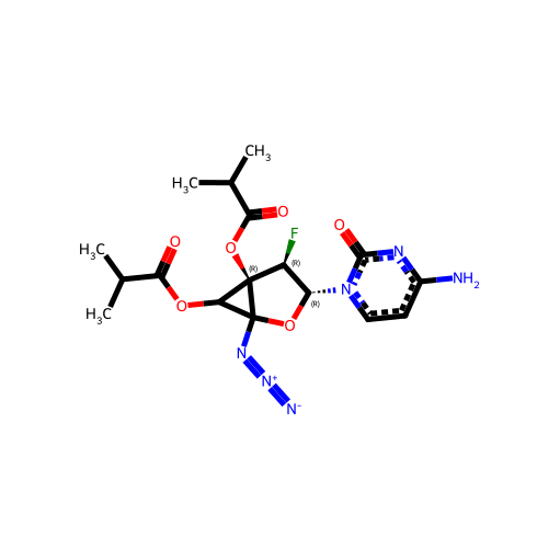 CC(C)C(=O)OC1C2(N=[N+]=[N-])O[C@@H](n3ccc(N)nc3=O)[C@H](F)[C@@]12OC(=O)C(C)C